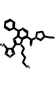 CNC1CCN(C(=O)c2cnc(-c3ccccc3)c3nc(-c4nonc4N)n(CCCCN)c23)C1